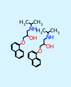 CC(C)NCC(O)COc1cccc2ccccc12.CC(C)NCC(O)COc1cccc2ccccc12